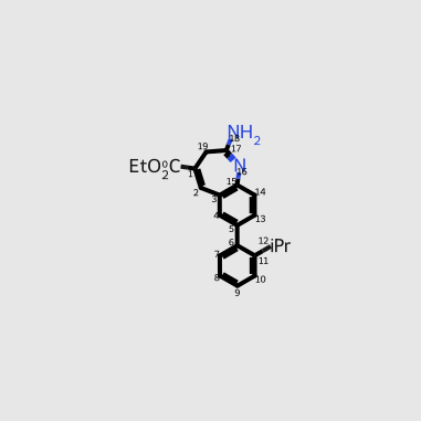 CCOC(=O)C1=Cc2cc(-c3ccccc3C(C)C)ccc2N=C(N)C1